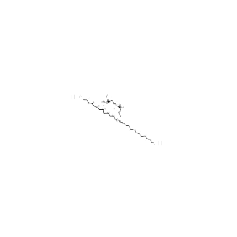 CCCCCCCCCCCCCCN(CCCCCCCCCCCCCC)CCCC(C)(C)OCCC(C)(C)OC